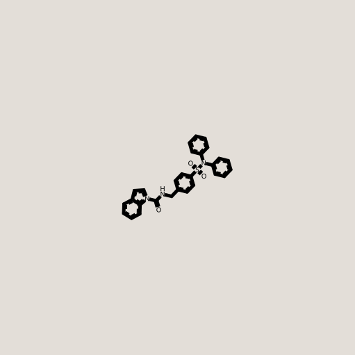 O=C(NCc1ccc(S(=O)(=O)N(c2ccccc2)c2ccccc2)cc1)n1ccc2ccccc21